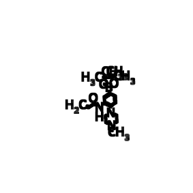 C=CC(=O)Nc1cc(B2OC(C)(C)C(C)(C)O2)ccc1N1CCN(C)CC1